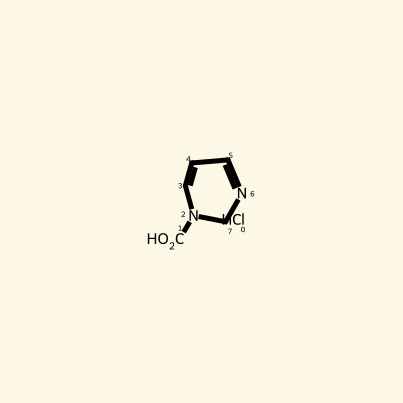 Cl.O=C(O)N1C=CC=NC1